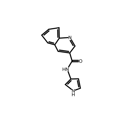 O=C(Nc1cc[nH]c1)c1cnc2ccccc2c1